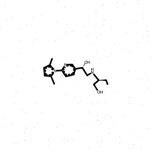 CC[C@@H](CO)NC[C@@H](O)c1ccc(-n2c(C)ccc2C)nc1